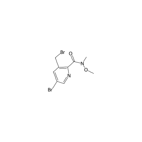 CON(C)C(=O)c1ncc(Br)cc1CBr